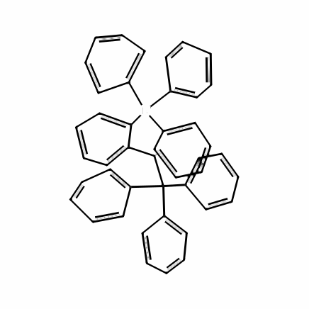 c1ccc([B-](c2ccccc2)(c2ccccc2)c2ccccc2CC(c2ccccc2)(c2ccccc2)c2ccccc2)cc1